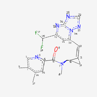 Cc1cnc(C(=O)N(C)[C@@H]2C/C2=C/c2cc(C(F)F)nc3ncnn23)cc1C